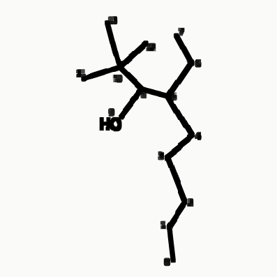 CCCCCC(CC)C(O)C(C)(C)C